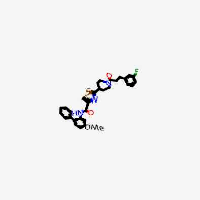 COc1ccc(-c2ccccc2)c(NC(=O)c2csc(C3CCN(C(=O)CCc4cccc(F)c4)CC3)n2)c1